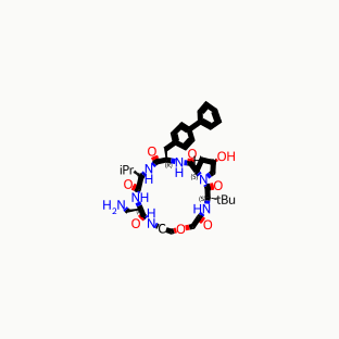 CC(C)[C@H]1NC(=O)[C@@H](Cc2ccc(-c3ccccc3)cc2)NC(=O)[C@@H]2C[C@@H](O)CN2C(=O)[C@H](C(C)(C)C)NC(=O)COCCNC(=O)[C@@H](CN)NC1=O